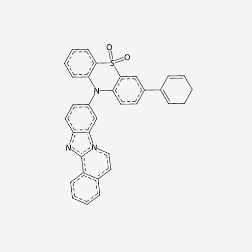 O=S1(=O)c2ccccc2N(c2ccc3nc4c5ccccc5ccn4c3c2)c2ccc(C3=CCCC=C3)cc21